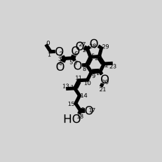 CCOC(=O)C(=O)Oc1c(CC=C(C)CCC(=O)O)c(OC)c(C)c2c1C(=O)OC2